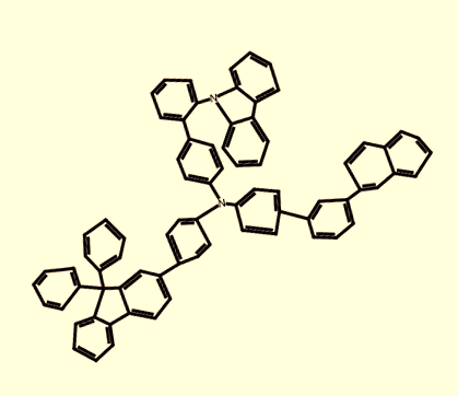 c1ccc(C2(c3ccccc3)c3ccccc3-c3ccc(-c4ccc(N(c5ccc(-c6cccc(-c7ccc8ccccc8c7)c6)cc5)c5ccc(-c6ccccc6-n6c7ccccc7c7ccccc76)cc5)cc4)cc32)cc1